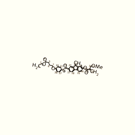 C=COC(=O)CCCOc1ccc(SC(=O)c2ccc3c(c2)C(C)c2cc(OC(=O)C(=C)COC)ccc2-3)cc1